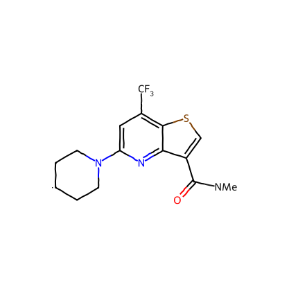 CNC(=O)c1csc2c(C(F)(F)F)cc(N3CC[CH]CC3)nc12